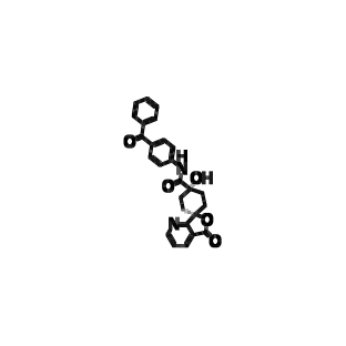 O=C(c1ccccc1)c1ccc(NC(=O)[C@]2(O)CC[C@]3(CC2)OC(=O)c2cccnc23)cc1